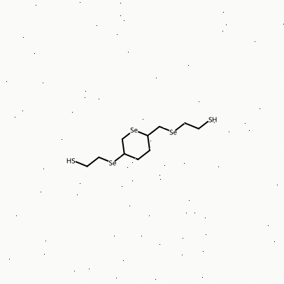 SCC[Se]CC1CCC([Se]CCS)C[Se]1